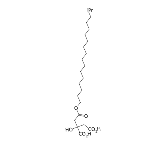 CC(C)CCCCCCCCCCCCCCCOC(=O)CC(O)(CC(=O)O)C(=O)O